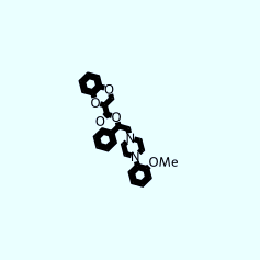 COc1ccccc1N1CCN(CC(OC(=O)C2COc3ccccc3O2)c2ccccc2)CC1